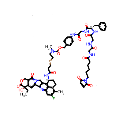 CC[C@@]1(O)C(=O)OCc2c1cc1n(c2=O)Cc2c-1nc1cc(F)c(C)c3c1c2[C@@H](NC(=O)CCSCCN(C)C(=O)OCc1ccc(NC(=O)CNC(=O)[C@H](Cc2ccccc2)NC(=O)CNC(=O)CNC(=O)CCCCCN2C(=O)C=CC2=O)cc1)CC3